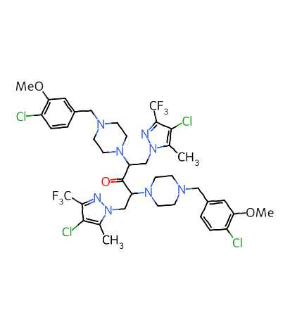 COc1cc(CN2CCN(C(Cn3nc(C(F)(F)F)c(Cl)c3C)C(=O)C(Cn3nc(C(F)(F)F)c(Cl)c3C)N3CCN(Cc4ccc(Cl)c(OC)c4)CC3)CC2)ccc1Cl